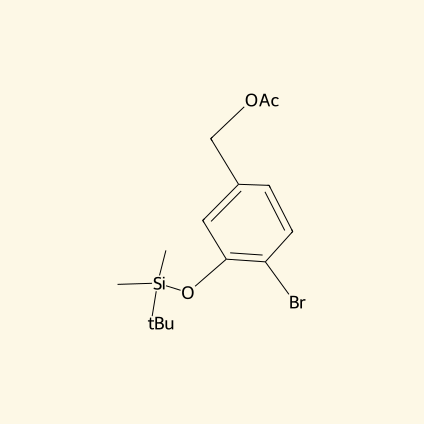 CC(=O)OCc1ccc(Br)c(O[Si](C)(C)C(C)(C)C)c1